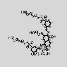 COc1ccc(S(=O)(=O)CCOSOOO)cc1/N=N/c1c(NCS(=O)(=O)O)ccc2c(O)c(/N=N/c3cccc(S(=O)(=O)CCOSOOO)c3)c(SOOO)cc12